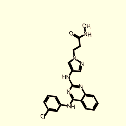 O=C(CCn1cc(Nc2nc(Nc3cccc(Cl)c3)c3ccccc3n2)cn1)NO